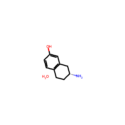 N[C@@H]1CCc2ccc(O)cc2C1.O